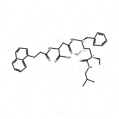 CC[C@H](C[C@H](O)[C@H](Cc1ccccc1)NC(=O)CC(NC(=O)CCc1cccc2ccccc12)C(=O)O)C(=O)NCC(C)C